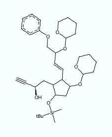 C#C[C@H](O)CC1C(O[Si](C)(C)C(C)(C)C)CC(OC2CCCCO2)C1C=CC(COc1ccccc1)OC1CCCCO1